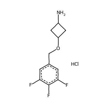 Cl.NC1CC(OCc2cc(F)c(F)c(F)c2)C1